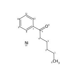 CCCCCC(=O)c1ccccc1.[Ni]